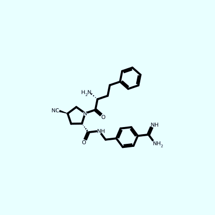 N#C[C@@H]1C[C@@H](C(=O)NCc2ccc(C(=N)N)cc2)N(C(=O)[C@H](N)CCc2ccccc2)C1